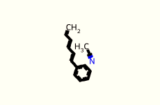 C=CC=CC=Cc1ccccc1.CC#N